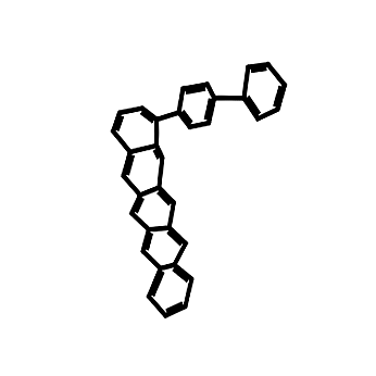 c1ccc(-c2ccc(-c3cccc4cc5cc6cc7ccccc7cc6cc5cc34)cc2)cc1